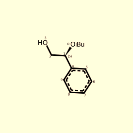 CC(C)CO[C@H](CO)c1ccccc1